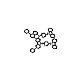 c1ccc(-c2ccc3c(c2)c2cc4c(cc2n3-c2ccc(-n3c5ccccc5c5ccccc53)cn2)N(c2ccc(-n3c5ccccc5c5ccccc53)cn2)c2cccc3c(-c5ccccc5)ccc-4c23)cc1